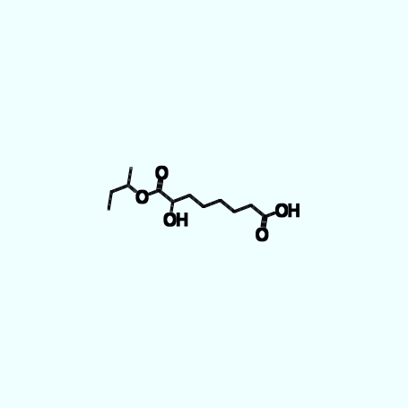 CCC(C)OC(=O)C(O)CCCCCC(=O)O